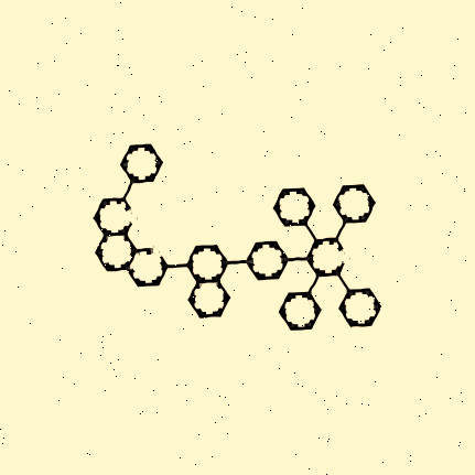 c1ccc(-c2ccc3ccc4ccc(-c5ccc(-c6ccc(-c7c(-c8ccccc8)c(-c8ccccc8)nc(-c8ccccc8)c7-c7ccccc7)cc6)c6ccccc56)nc4c3n2)cc1